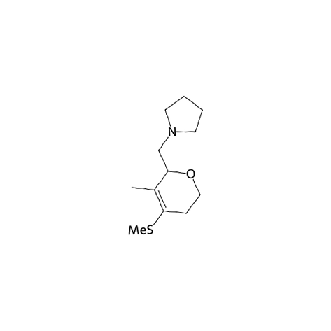 CSC1=C(C)C(CN2CCCC2)OCC1